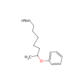 CCCCCCCCCCCCCC[C](C)Oc1ccccc1